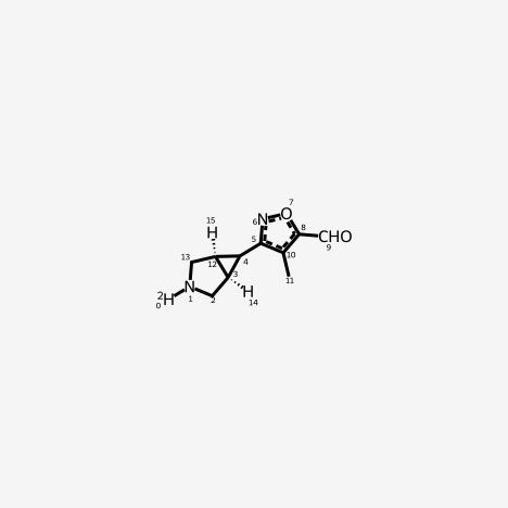 [2H]N1C[C@@H]2C(c3noc(C=O)c3C)[C@@H]2C1